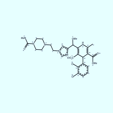 CCOC(=O)C1=C(C(OC)c2nnn(CCN3CCN(C(=O)NC)CC3)n2)NC(C)=C(C(=O)OC)C1c1cccc(Cl)c1Cl